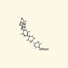 CCCCC[C@H]1CC[C@H](C2CCC(C3=CCC(OC(F)(F)C(F)(F)CF)C=C3)CC2)CC1